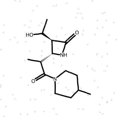 CC1CCN(C(=O)C(C)[C@H]2NC(=O)[C@@H]2C(C)O)CC1